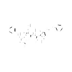 C[C@H](NC1CC(=O)OC1OCc1ccccc1)C(=O)NC(=O)c1nc(CCCc2ccccc2)c[nH]1